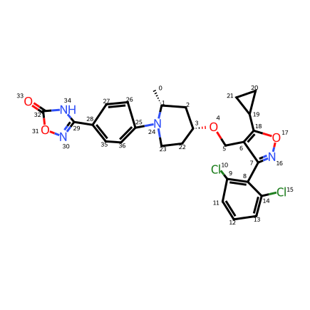 C[C@@H]1C[C@H](OCc2c(-c3c(Cl)cccc3Cl)noc2C2CC2)CCN1c1ccc(-c2noc(=O)[nH]2)cc1